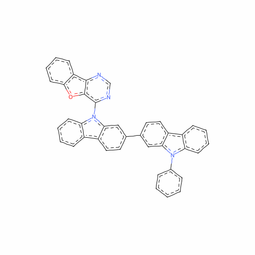 c1ccc(-n2c3ccccc3c3ccc(-c4ccc5c6ccccc6n(-c6ncnc7c6oc6ccccc67)c5c4)cc32)cc1